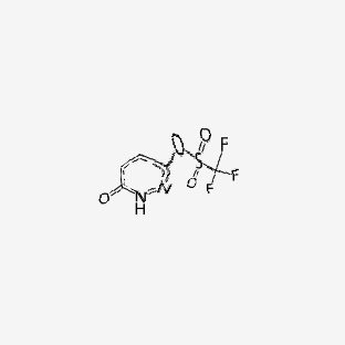 O=c1ccc(OS(=O)(=O)C(F)(F)F)n[nH]1